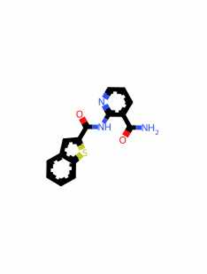 NC(=O)c1cccnc1NC(=O)c1cc2ccccc2s1